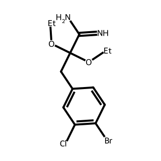 CCOC(Cc1ccc(Br)c(Cl)c1)(OCC)C(=N)N